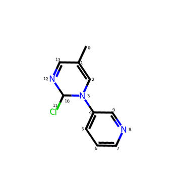 CC1=CN(c2cccnc2)C(Cl)N=C1